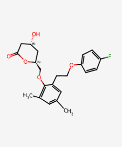 Cc1cc(C)c(OC[C@@H]2C[C@@H](O)CC(=O)O2)c(CCOc2ccc(F)cc2)c1